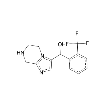 OC(c1ccccc1C(F)(F)F)c1cnc2n1CCNC2